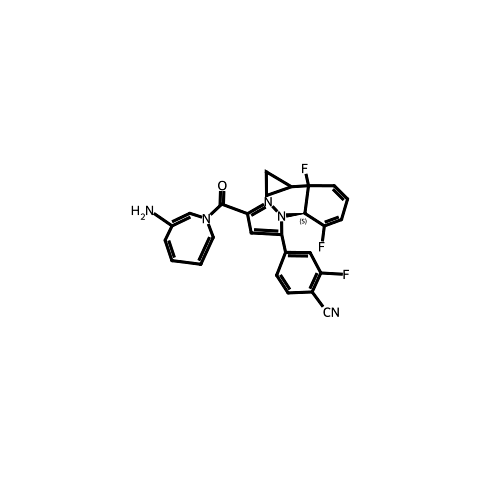 N#Cc1ccc(-c2cc(C(=O)N3C=CC=CC(N)=C3)nn2[C@@H]2C(F)=CC=CC2(F)C2CC2)cc1F